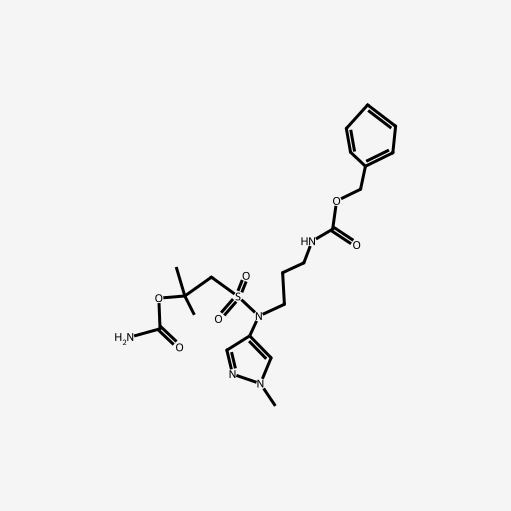 Cn1cc(N(CCCNC(=O)OCc2ccccc2)S(=O)(=O)CC(C)(C)OC(N)=O)cn1